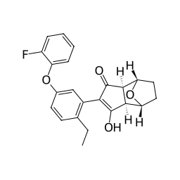 CCc1ccc(Oc2ccccc2F)cc1C1=C(O)[C@H]2[C@@H](C1=O)[C@@H]1CC[C@H]2O1